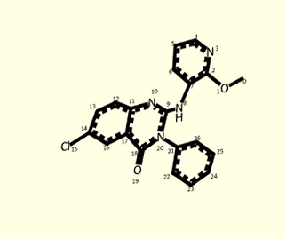 COc1ncccc1Nc1nc2ccc(Cl)cc2c(=O)n1-c1ccccc1